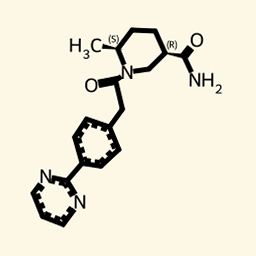 C[C@H]1CC[C@@H](C(N)=O)CN1C(=O)Cc1ccc(-c2ncccn2)cc1